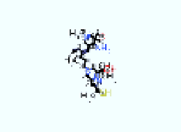 C/C=C\C(=C/C1=C(N)C2(COC2)CN(C)C1)C(C)CCN1Cc2cc(C(C)S)nn2C(C(C)(C)O)C1